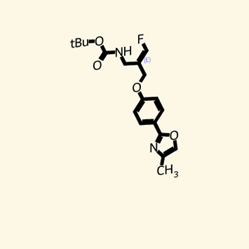 Cc1coc(-c2ccc(OC/C(=C/F)CNC(=O)OC(C)(C)C)cc2)n1